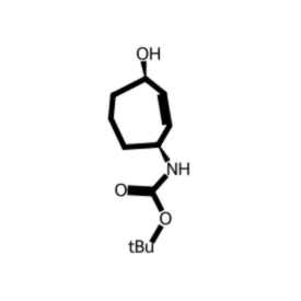 CC(C)(C)OC(=O)N[C@@H]1C=C[C@H](O)CCC1